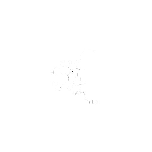 CCCCCCCCCCCCOC(=O)[C](S)(/C(C(=O)O)=C(/C(=O)O)[C](S)(C(=O)OCCCCCCCCCCCC)[SnH]([CH2]CCCCCCC)[CH2]CCCCCCC)[SnH]([CH2]CCCCCCC)[CH2]CCCCCCC